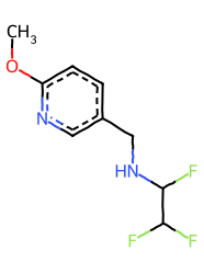 COc1ccc(CNC(F)C(F)F)cn1